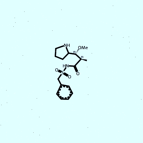 CO[C@@H](C1CCCN1)[C@@H](C)C(=O)NS(=O)(=O)Cc1ccccc1